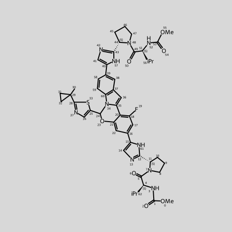 COC(=O)N[C@H](C(=O)N1CCC[C@H]1c1ncc(-c2cc(F)c3c(c2)OC(c2cnc(C4(C)CC4)s2)n2c-3cc3cc(-c4cnc([C@@H]5CCCN5C(=O)[C@@H](NC(=O)OC)C(C)C)[nH]4)ccc32)[nH]1)C(C)C